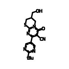 CC(C)(C)c1ncc(-c2nc3n(c(=O)c2C#N)CC(CO)CS3)cn1